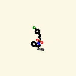 O=Cc1cn(S(=O)(=O)CC=Cc2ccc(Cl)cc2)c2ccccc12